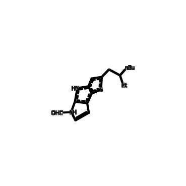 CCCCC(CC)Cc1cc2[nH]c3c(c2s1)C=C[SH]3C=O